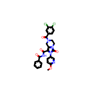 COc1ccc(-n2c(C(=O)NC(=O)c3ccccc3)c3n(c2=O)CCN(C(=O)c2ccc(Cl)c(Cl)c2)C3)cn1